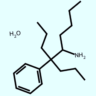 CCCCC(N)C(CCC)(CCC)c1ccccc1.O